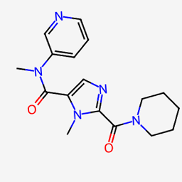 CN(C(=O)c1cnc(C(=O)N2CCCCC2)n1C)c1cccnc1